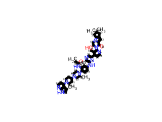 C=CC(=O)Nc1cc(Nc2nc(-c3ccnc(N4CCn5c(cc6c5CC(C)(C)C6)C4=O)c3CO)cnc2OC)ccc1N1CCN(C2CCN(c3ccnc4[nH]ccc34)[C@@H](C)C2)C[C@@H]1C